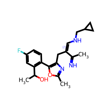 CC(=N)/C(=C\NCC1CC1)Cc1nc(C)oc1-c1ccc(F)cc1C(C)O